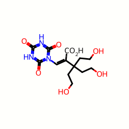 O=C(O)C(=Cn1c(=O)[nH]c(=O)[nH]c1=O)C(CCO)(CCO)CCO